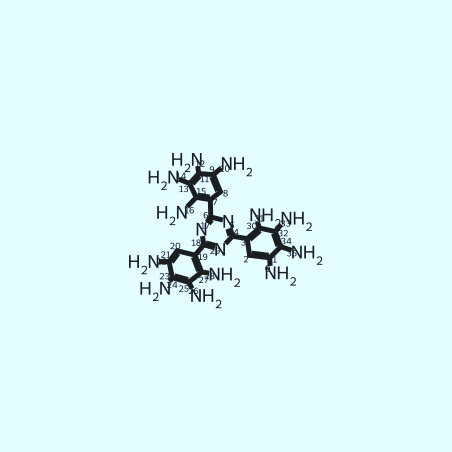 Nc1cc(-c2nc(-c3cc(N)c(N)c(N)c3N)nc(-c3cc(N)c(N)c(N)c3N)n2)c(N)c(N)c1N